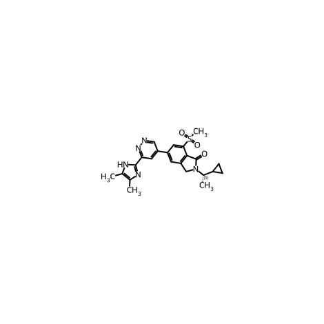 Cc1nc(-c2cc(-c3cc4c(c(S(C)(=O)=O)c3)C(=O)N([C@@H](C)C3CC3)C4)cnn2)[nH]c1C